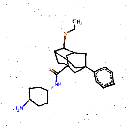 CCSC1C2CC3(C(=S)N[C@H]4CC[C@H](N)CC4)CC1CC(c1ccccc1)(C2)C3